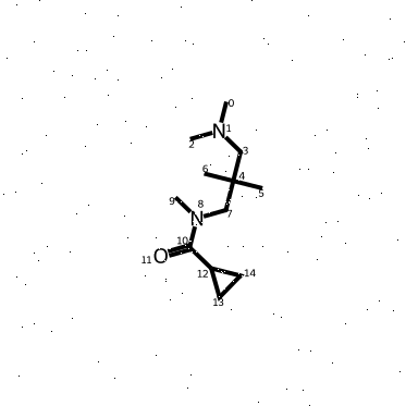 CN(C)CC(C)(C)CN(C)C(=O)C1CC1